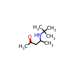 CC(=O)CC(C)NC(C)(C)C